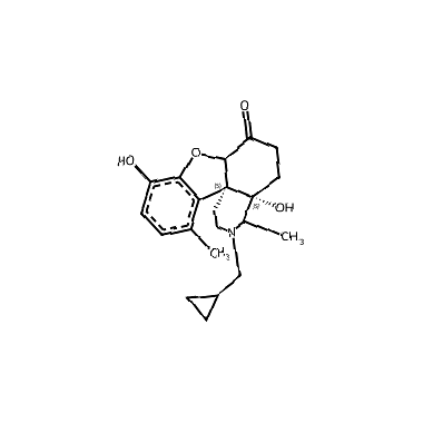 Cc1ccc(O)c2c1[C@]13CCN(CC4CC4)C(C)[C@]1(O)CCC(=O)C3O2